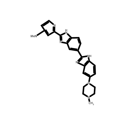 CNc1ccnc(-c2nc3cc(-c4nc5cc(N6CCN(C)CC6)ccc5[nH]4)ccc3[nH]2)c1